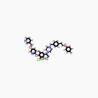 Cc1cc(/C(=C\C=O)N2CCN(Cc3ccc(CCOc4ccc(F)cc4)cc3)CC2)cc(Cl)c1Oc1ccc(OCc2cccnc2)cn1